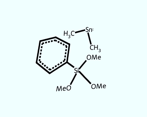 CO[Si](OC)(OC)c1ccccc1.[CH3][Sn][CH3]